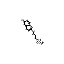 O=C(O)NCCCOc1ccc2cc(Br)ccc2n1